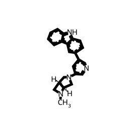 CN1C[C@H]2CN(c3cncc(-c4ccc5[nH]c6ccccc6c5c4)c3)C[C@H]21